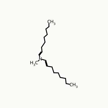 CCCCCCCC=CN(C)C=CCCCCCCC